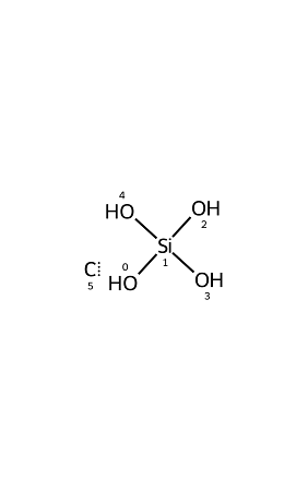 O[Si](O)(O)O.[C]